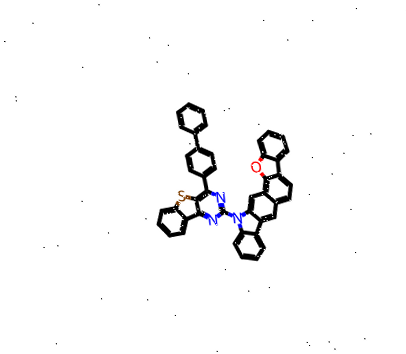 c1ccc(-c2ccc(-c3nc(-n4c5ccccc5c5cc6ccc7c8ccccc8oc7c6cc54)nc4c3sc3ccccc34)cc2)cc1